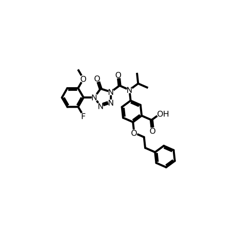 COc1cccc(F)c1-n1nnn(C(=O)N(c2ccc(OCCc3ccccc3)c(C(=O)O)c2)C(C)C)c1=O